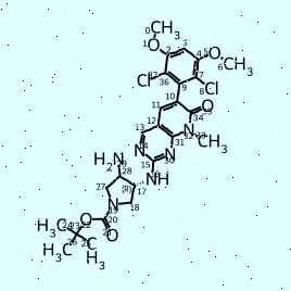 COc1cc(OC)c(Cl)c(-c2cc3cnc(N[C@@H]4CN(C(=O)OC(C)(C)C)CC4N)nc3n(C)c2=O)c1Cl